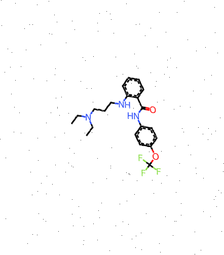 CCN(CC)CCCNc1ccccc1C(=O)Nc1ccc(OC(F)(F)F)cc1